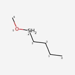 CCCC[SiH2]OC